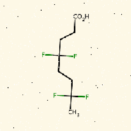 CC(F)(F)CCC(F)(F)CCC(=O)O